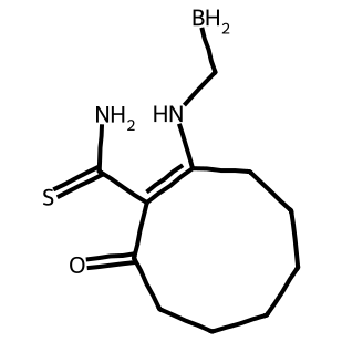 BCN/C1=C(\C(N)=S)C(=O)CCCCCC1